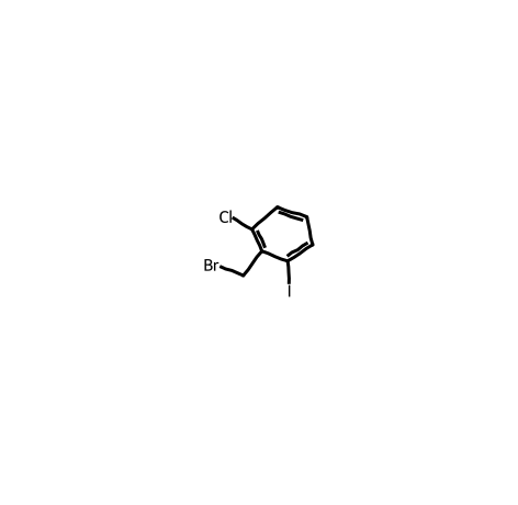 Clc1cccc(I)c1CBr